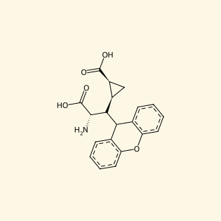 N[C@H](C(=O)O)C(C1c2ccccc2Oc2ccccc21)[C@@H]1C[C@@H]1C(=O)O